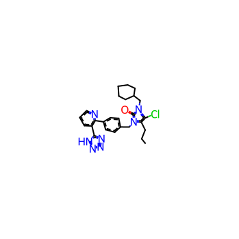 CCCc1c(Cl)n(CC2CCCCC2)c(=O)n1Cc1ccc(-c2ncccc2-c2nnn[nH]2)cc1